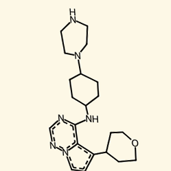 c1nc(NC2CCC(N3CCNCC3)CC2)c2c(C3CCOCC3)ccn2n1